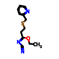 CCOC(CCSCc1ccccn1)=NC#N